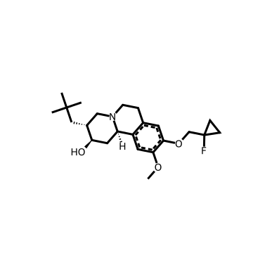 COc1cc2c(cc1OCC1(F)CC1)CCN1C[C@@H](CC(C)(C)C)[C@H](O)C[C@H]21